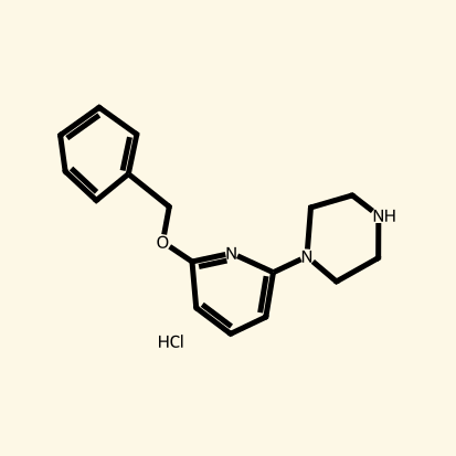 Cl.c1ccc(COc2cccc(N3CCNCC3)n2)cc1